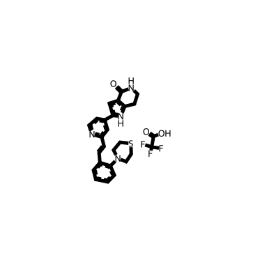 O=C(O)C(F)(F)F.O=C1NCCc2[nH]c(-c3ccnc(C=Cc4ccccc4N4CCSCC4)c3)cc21